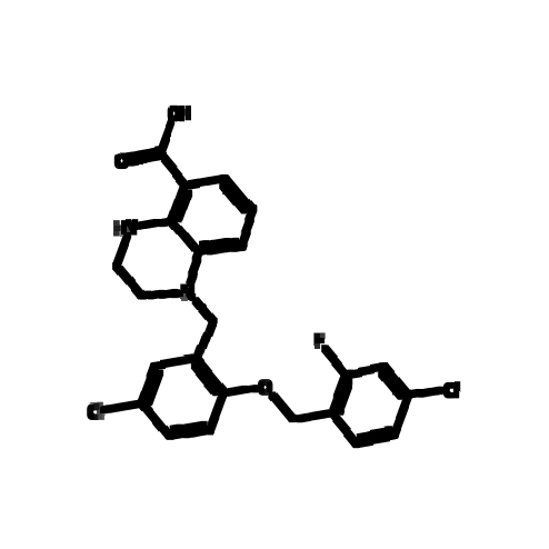 O=C(O)c1cccc2c1NCCN2Cc1cc(Cl)ccc1OCc1ccc(Cl)cc1F